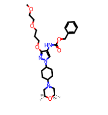 COCCOCCCOc1nn(C2CCC(N3C[C@@H](C)O[C@@H](C)C3)CC2)cc1NC(=O)OCc1ccccc1